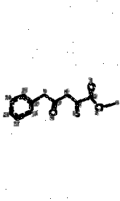 COC(=O)C(=S)CC(=O)Cc1ccccc1